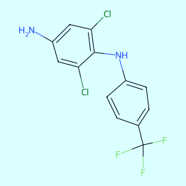 Nc1cc(Cl)c(Nc2ccc(C(F)(F)F)cc2)c(Cl)c1